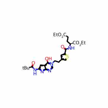 CCOC(=O)CC[C@H](NC(=O)c1cc(CCn2cnc3nc(NC(=O)C(C)(C)C)cc-3c2O)cs1)C(=O)OCC